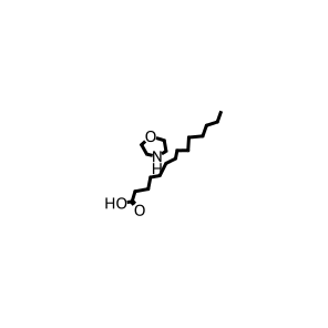 C1COCCN1.CCCCCCCCCCCCCC(=O)O